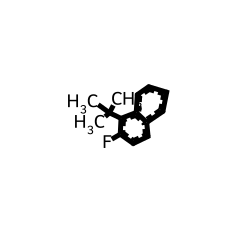 CC(C)(C)c1c(F)ccc2ccccc12